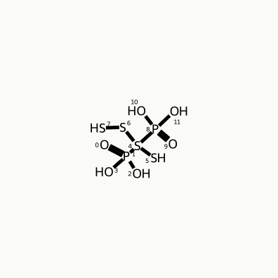 O=P(O)(O)S(S)(SS)P(=O)(O)O